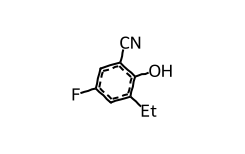 CCc1cc(F)cc(C#N)c1O